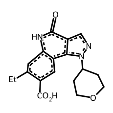 CCc1cc2[nH]c(=O)c3cnn(C4CCOCC4)c3c2cc1C(=O)O